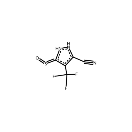 N#Cc1[nH][nH]c(=S=O)c1C(F)(F)F